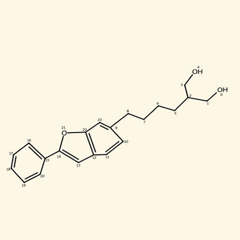 OCC(CO)CCCCc1ccc2cc(-c3ccccc3)oc2c1